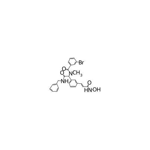 CN(C(=O)c1cccc(Br)c1)C(C(=O)NCc1ccccc1)c1cccc(C=CC(=O)NO)c1